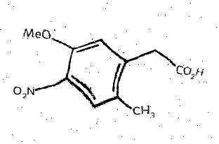 COc1cc(CC(=O)O)c(C)cc1[N+](=O)[O-]